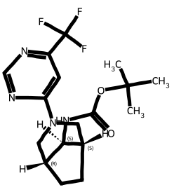 CC(C)(C)OC(=O)N[C@@H]1[C@@H]2CC[C@H]1CN(c1cc(C(F)(F)F)ncn1)C2